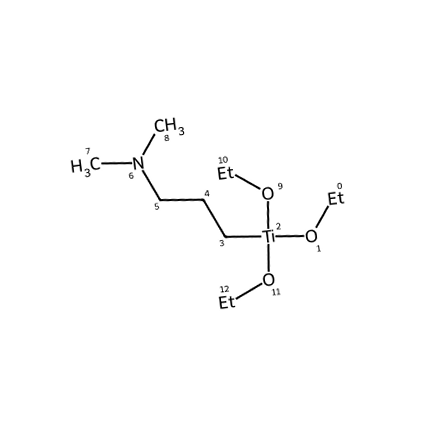 CC[O][Ti]([CH2]CCN(C)C)([O]CC)[O]CC